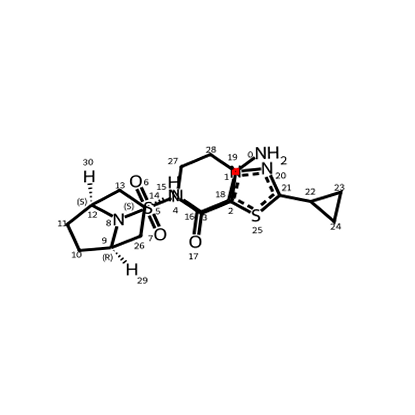 NC1CCN(S(=O)(=O)N2[C@@H]3CC[C@H]2C[C@H](NC(=O)c2nnc(C4CC4)s2)C3)CC1